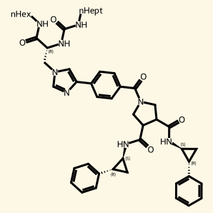 CCCCCCCNC(=O)N[C@H](Cn1cnc(-c2ccc(C(=O)N3CC(C(=O)N[C@H]4C[C@@H]4c4ccccc4)C(C(=O)N[C@H]4C[C@@H]4c4ccccc4)C3)cc2)c1)C(=O)NCCCCCC